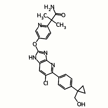 CC(C)(C(N)=O)c1ccc(Oc2nc3nc(-c4ccc(C5(CO)CC5)cc4)c(Cl)cc3[nH]2)cn1